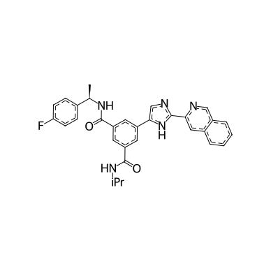 CC(C)NC(=O)c1cc(C(=O)N[C@H](C)c2ccc(F)cc2)cc(-c2cnc(-c3cc4ccccc4cn3)[nH]2)c1